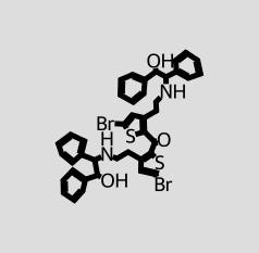 O=C(c1sc(Br)cc1CCNC(c1ccccc1)C(O)c1ccccc1)c1sc(Br)cc1CCNC(c1ccccc1)C(O)c1ccccc1